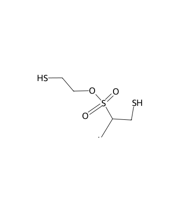 [CH2]C(CS)S(=O)(=O)OCCS